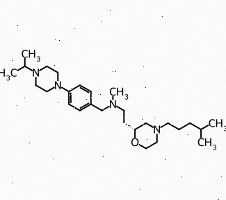 CC(C)CCCN1CCO[C@H](CCN(C)Cc2ccc(N3CCN(C(C)C)CC3)cc2)C1